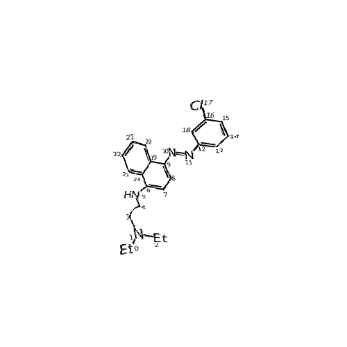 CCN(CC)CCNc1ccc(N=Nc2cccc(Cl)c2)c2ccccc12